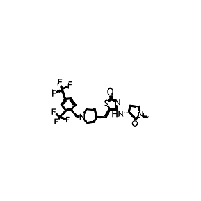 CN1CC[C@@H](NC2=NC(=O)S/C2=C\C2CCN(Cc3ccc(C(F)(F)F)cc3C(F)(F)F)CC2)C1=O